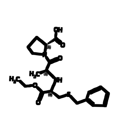 CCOC(=O)[C@H](CSCc1ccccc1)N[C@@H](C)C(=O)N1CCC[C@@H]1C(=O)O